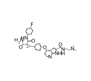 CN(C)CCNC(=O)c1cc2c(Oc3ccc(C4CC4(C(N)=O)C(=O)Nc4ccc(F)cc4)cc3)ccnc2[nH]1